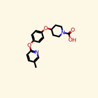 Cc1ccc(Oc2ccc(OC3CCN(C(=O)O)CC3)cc2)nc1